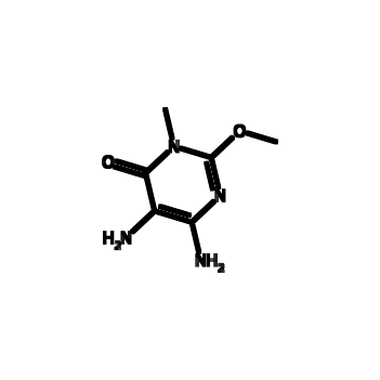 COc1nc(N)c(N)c(=O)n1C